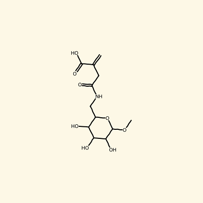 C=C(CC(=O)NCC1OC(OC)C(O)C(O)C1O)C(=O)O